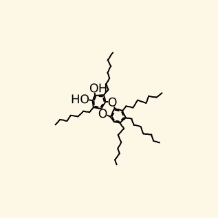 CCCCCCCc1cc2c(c(CCCCCCC)c1CCCCCCC)Oc1c(CCCCCCC)c(O)c(O)c(CCCCCCC)c1O2